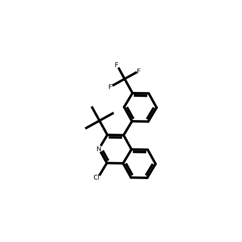 CC(C)(C)c1nc(Cl)c2ccccc2c1-c1cccc(C(F)(F)F)c1